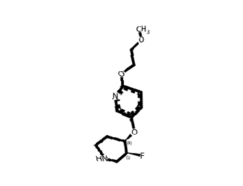 COCCOc1ccc(O[C@@H]2CCNC[C@@H]2F)cn1